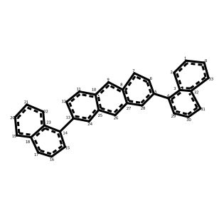 c1ccc2c(-c3ccc4cc5ccc(-c6cccc7ccccc67)cc5cc4c3)cccc2c1